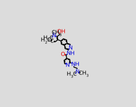 C=C=C/C(=C(/CO)N(C)C)c1ccc2cnc(NC(=O)c3ccnc(NCCN(C)C)c3)cc2c1